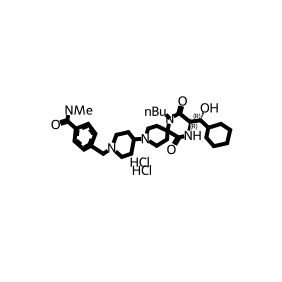 CCCCN1C(=O)[C@@H]([C@H](O)C2CCCCC2)NC(=O)C12CCN(C1CCN(Cc3ccc(C(=O)NC)cc3)CC1)CC2.Cl.Cl